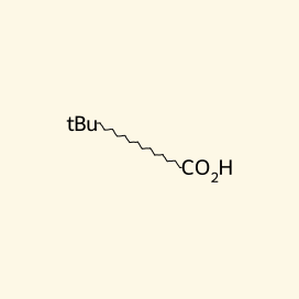 [CH2]C([CH2])([CH2])CCCCCCCCCCCCCCC(=O)O